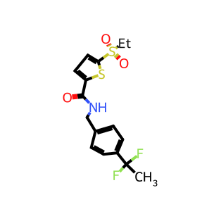 CCS(=O)(=O)c1ccc(C(=O)NCc2ccc(C(C)(F)F)cc2)s1